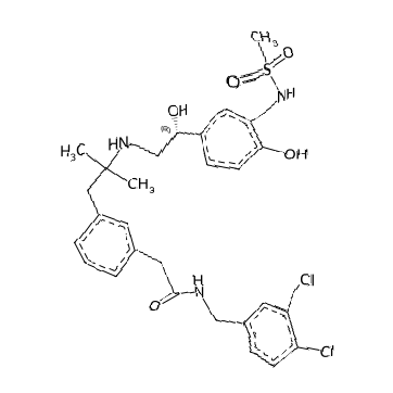 CC(C)(Cc1cccc(CC(=O)NCc2ccc(Cl)c(Cl)c2)c1)NC[C@H](O)c1ccc(O)c(NS(C)(=O)=O)c1